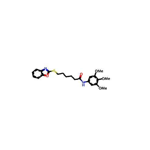 COc1cc(NC(=O)CCCCCSc2nc3ccccc3o2)cc(OC)c1OC